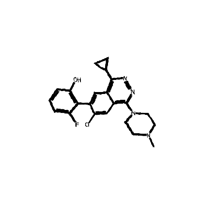 CN1CCN(c2nnc(C3CC3)c3cc(-c4c(O)cccc4F)c(Cl)cc23)CC1